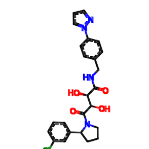 O=C(NCc1ccc(-n2cccn2)cc1)[C@H](O)C(O)C(=O)N1CCCC1c1cccc(Cl)c1